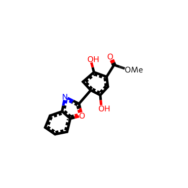 COC(=O)c1cc(O)c(-c2nc3ccccc3o2)cc1O